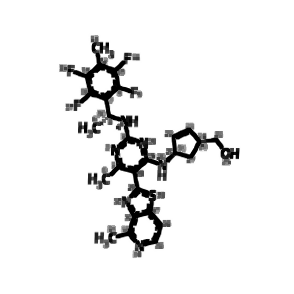 Cc1nc(N[C@H](C)c2c(F)c(F)c(C)c(F)c2F)nc(N[C@H]2C=C[C@@H](CO)C2)c1-c1nc2c(C)nccc2s1